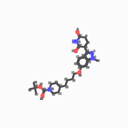 Cn1nc(C2CCC(=O)NC2=O)c2ccc(OCCCCC3CCN(C(=O)OC(C)(C)C)CC3)cc21